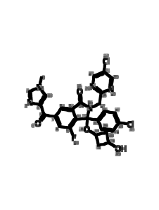 Cn1cnc(C(=O)c2cc(F)c3c(c2)C(=O)N(Cc2ncc(Cl)cn2)C3(OC2CC(O)C2)c2ccc(Cl)cc2)c1